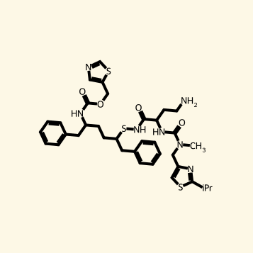 CC(C)c1nc(CN(C)C(=O)NC(CCN)C(=O)NSC(CCC(Cc2ccccc2)NC(=O)OCc2cncs2)Cc2ccccc2)cs1